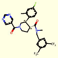 Cc1cc(F)ccc1[C@@H]1CN(C(=O)c2cncnc2)CC[C@H]1C(=O)N(C)Cc1cc(C(F)(F)F)cc(C(F)(F)F)c1